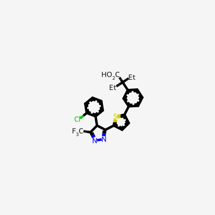 CCC(CC)(C(=O)O)c1cccc(-c2ccc(C3=NN=C(C(F)(F)F)C3c3ccccc3Cl)s2)c1